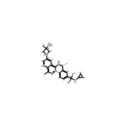 Cc1nnc(N[C@H](C)c2cccc(C(F)(F)OC3CC3)c2)c2cc(N3CC(C)(O)C3)cnc12